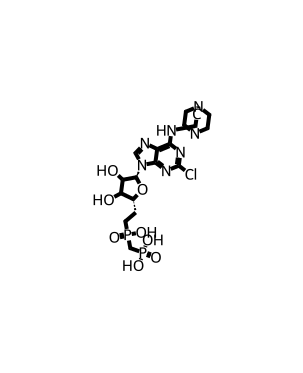 O=P(O)(O)CP(=O)(O)CC[C@H]1O[C@@H](n2cnc3c(NC4CN5CCN4CC5)nc(Cl)nc32)C(O)C1O